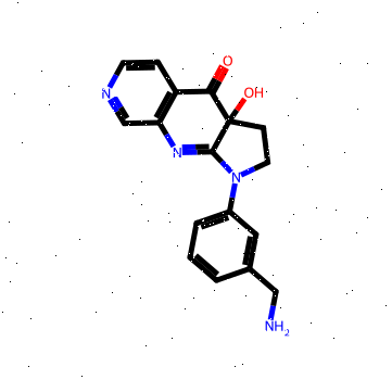 NCc1cccc(N2CCC3(O)C(=O)c4ccncc4N=C23)c1